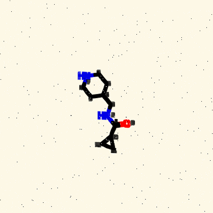 O=C(NCC1CCNCC1)C1CC1